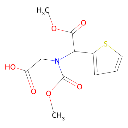 COC(=O)C(c1cccs1)N(CC(=O)O)C(=O)OC